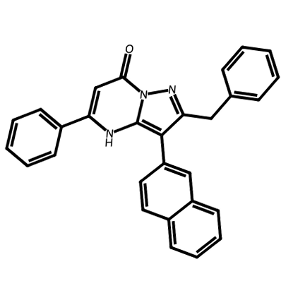 O=c1cc(-c2ccccc2)[nH]c2c(-c3ccc4ccccc4c3)c(Cc3ccccc3)nn12